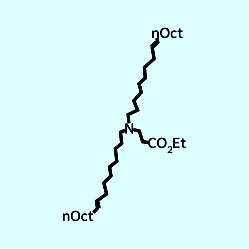 CCCCCCCCC=CCCCCCCCCN(CCCCCCCCC=CCCCCCCCC)CCC(=O)OCC